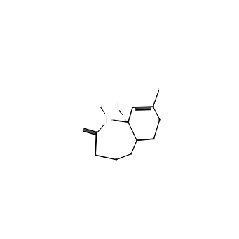 CN1C(=O)CCCC2CCC(Br)=C[C@H]21